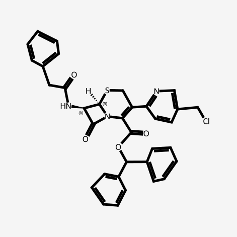 O=C(Cc1ccccc1)N[C@@H]1C(=O)N2C(C(=O)OC(c3ccccc3)c3ccccc3)=C(c3ccc(CCl)cn3)CS[C@H]12